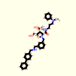 C[C@@H](O)[C@H]1[C@@H](CO)ON(Cc2cccc(CNCc3ccc(-c4ccccc4)cc3)c2)[C@H]1C(=O)NCCCN(C)c1ccccc1